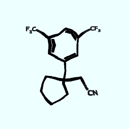 N#CCC1(c2cc(C(F)(F)F)cc(C(F)(F)F)c2)CCCC1